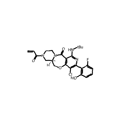 C=CC(=O)N1CCN2C(=O)c3c(NC(C)(C)C)nc(-c4c(O)cccc4F)c(Cl)c3OC[C@H]2C1